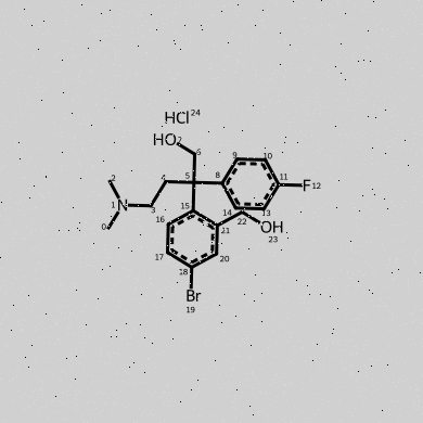 CN(C)CCC(CO)(c1ccc(F)cc1)c1ccc(Br)cc1CO.Cl